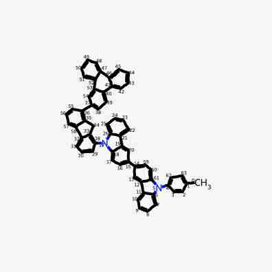 Cc1ccc(-n2c3ccccc3c3cc(-c4ccc5c(c4)c4ccccc4n5-c4cccc5c4Cc4c(-c6ccc7c8ccccc8c8ccccc8c7c6)cccc4-5)ccc32)cc1